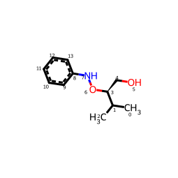 CC(C)[C@H](CO)ONc1ccccc1